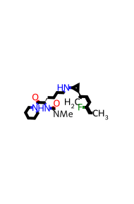 C=C(/C=C\C(F)=C/C)[C@@H]1CC1NCCCC[C@H](NC(=O)NC)C(=O)N1CCCCC1